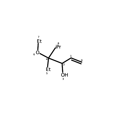 C=CC(O)C(CC)(OCC)C(C)C